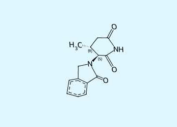 C[C@@H]1CC(=O)NC(=O)[C@H]1N1Cc2ccccc2C1=O